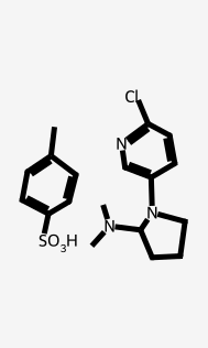 CN(C)C1CCCN1c1ccc(Cl)nc1.Cc1ccc(S(=O)(=O)O)cc1